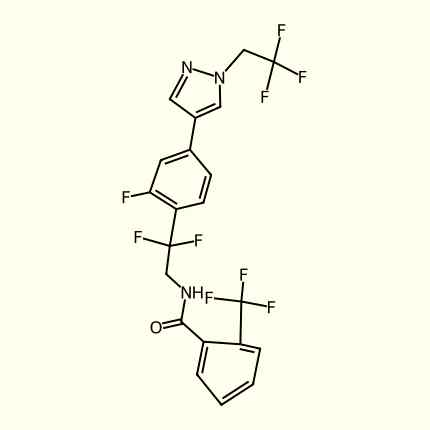 O=C(NCC(F)(F)c1ccc(-c2cnn(CC(F)(F)F)c2)cc1F)c1ccccc1C(F)(F)F